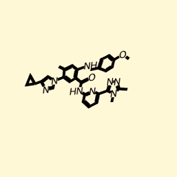 COc1ccc(CNc2cc(C)c(-n3cnc(C4CC4)c3)cc2C(=O)Nc2cccc(-c3nnc(C)n3C)n2)cc1